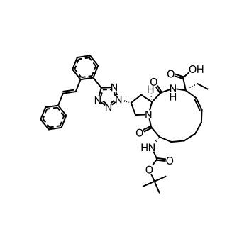 CC[C@]1(C(=O)O)/C=C\CCCC[C@H](NC(=O)OC(C)(C)C)C(=O)N2C[C@H](n3nnc(-c4ccccc4/C=C/c4ccccc4)n3)C[C@H]2C(=O)N1